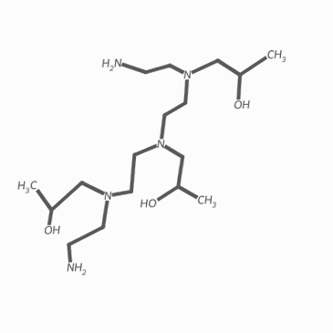 CC(O)CN(CCN)CCN(CCN(CCN)CC(C)O)CC(C)O